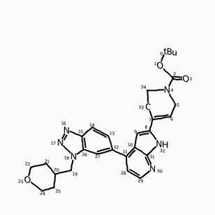 CC(C)(C)OC(=O)N1CC=C(c2cc3c(-c4ccc5nnn(CC6CCOCC6)c5c4)ccnc3[nH]2)CC1